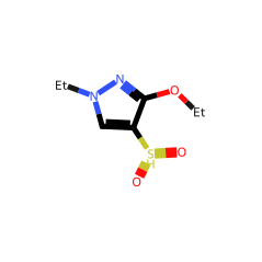 CCOc1nn(CC)cc1[SH](=O)=O